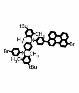 Cc1cc(C(C)(C)C)cc(C)c1N(C1=CCC(N(c2ccc(Br)cc2)c2c(C)cc(C(C)(C)C)cc2C)C=C1)c1ccc(-c2ccc3c4ccc(Br)c5cccc(c6cccc2c63)c54)cc1